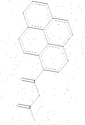 CC(=O)CC(=O)c1ccc2ccc3cccc4ccc1c2c34